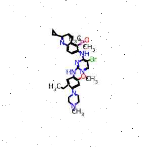 CCc1cc(Nc2ncc(Br)c(Nc3ccc4nc(C5CC5)ccc4c3P(C)(C)=O)n2)c(OC)cc1N1CCN(C)CC1